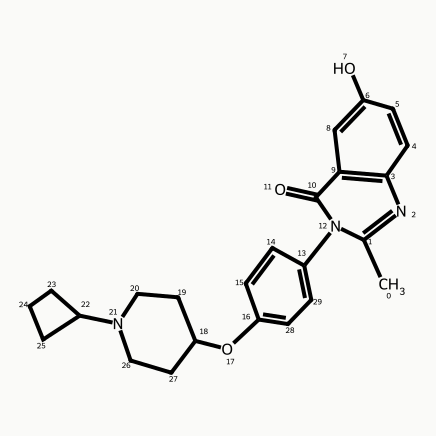 Cc1nc2ccc(O)cc2c(=O)n1-c1ccc(OC2CCN(C3CCC3)CC2)cc1